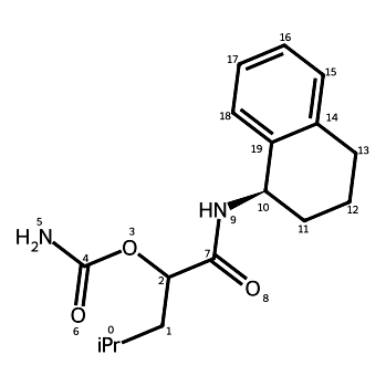 CC(C)CC(OC(N)=O)C(=O)N[C@@H]1CCCc2ccccc21